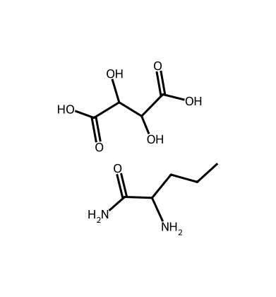 CCCC(N)C(N)=O.O=C(O)C(O)C(O)C(=O)O